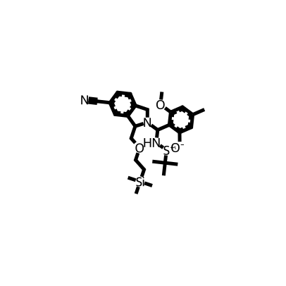 COc1cc(C)cc(C)c1C(N[S+]([O-])C(C)(C)C)N1Cc2ccc(C#N)cc2C1COCC[Si](C)(C)C